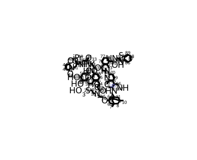 C/C(NCC12CC3(C)CC(C)(C1)CC(OCCN(CCS(=O)(=O)O)C(=O)OCc1ccc(NC(=O)[C@H](C)NC(=O)[C@@H](NC(=O)CN4C(=O)C=CC4=O)C(C)C)cc1CC[C@@H]1O[C@H](C(=O)O)C[C@H](O)[C@H]1O)(C3)C2)=C(/C=N)c1ccc(N2CCc3cccc(C(O)Nc4nc5ccccc5s4)c3C2)nc1C(=O)O